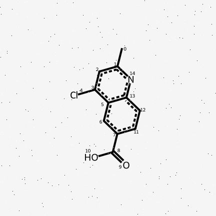 Cc1cc(Cl)c2cc(C(=O)O)ccc2n1